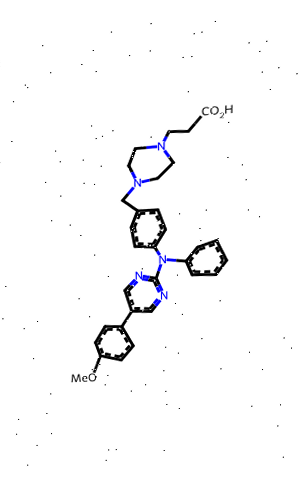 COc1ccc(-c2cnc(N(c3ccccc3)c3ccc(CN4CCN(CCC(=O)O)CC4)cc3)nc2)cc1